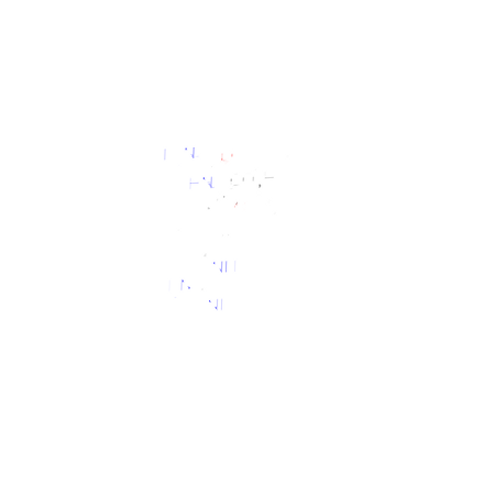 N=C(N)Nc1cccc(C(NC(N)=O)(Oc2ccccc2)C(=O)O)c1